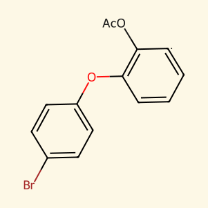 CC(=O)Oc1[c]cccc1Oc1ccc(Br)cc1